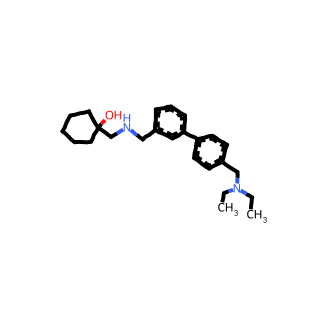 CCN(CC)Cc1ccc(-c2cccc(CNCC3(O)CCCCC3)c2)cc1